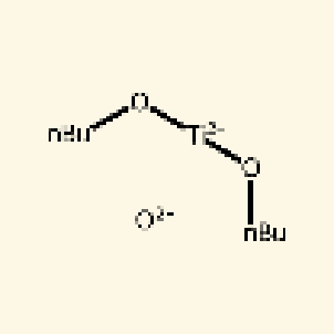 CCCC[O][Ti+2][O]CCCC.[O-2]